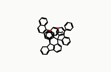 C1=CCC2C(=C1)c1cccc3c1C2(c1ccccc1)c1ccccc1C3(c1ccccc1)c1ccccc1N(c1ccccc1)c1ccc(-c2cccc3ccccc23)cc1